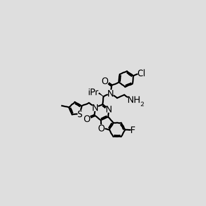 Cc1csc(Cn2c([C@@H](C(C)C)N(CCN)C(=O)c3ccc(Cl)cc3)nc3c(oc4ccc(F)cc43)c2=O)c1